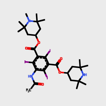 CN1C(C)(C)CC(OC(=O)c2c(I)c(NC(=O)C(F)(F)F)c(I)c(C(=O)OC3CC(C)(C)NC(C)(C)C3)c2I)CC1(C)C